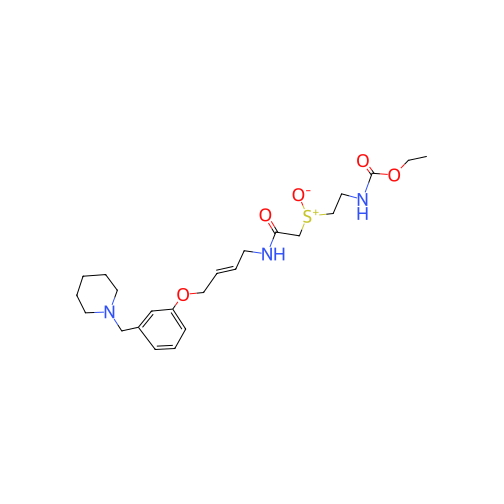 CCOC(=O)NCC[S+]([O-])CC(=O)NCC=CCOc1cccc(CN2CCCCC2)c1